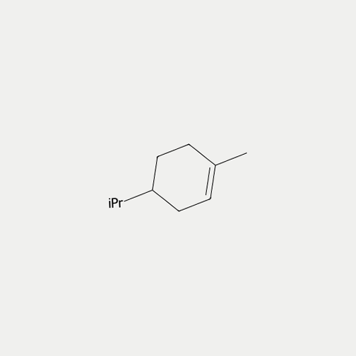 CC1=CCC(C(C)C)CC1